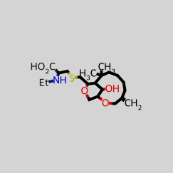 C=C1CCCCC(C)(C)C2C(CSCC(NCC)C(=O)O)OCC(OC1)C2O